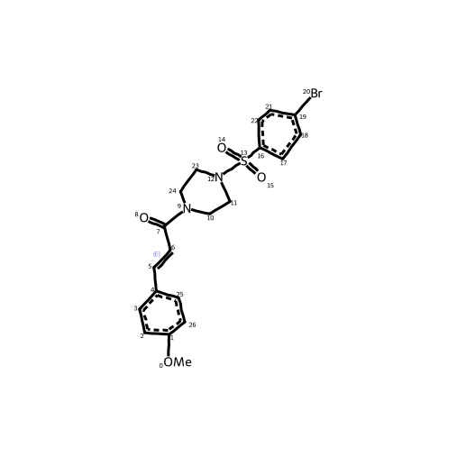 COc1ccc(/C=C/C(=O)N2CCN(S(=O)(=O)c3ccc(Br)cc3)CC2)cc1